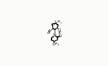 O=c1cc(C(F)(F)F)ccn1-c1c(Cl)cc(C(F)(F)F)cc1Br